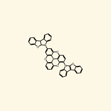 c1ccc2c(c1)OC1C2c2ccccc2N1c1cc2c3c(c1)Oc1ccc(-n4c5ccccc5c5c6ccccc6oc54)c4c1B3c1c(cccc1O4)O2